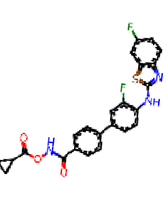 O=C(NOC(=O)C1CC1)c1ccc(-c2ccc(Nc3nc4ccc(F)cc4s3)c(F)c2)cc1